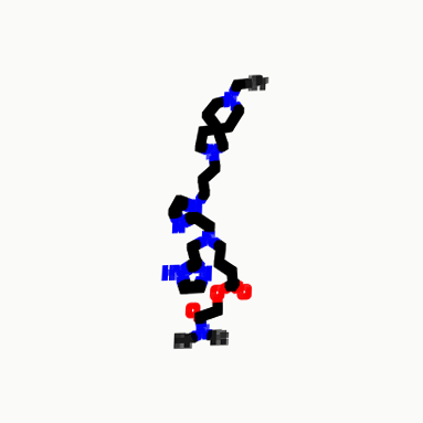 CCN(CC)C(=O)COC(=O)CCCN(Cc1ncc[nH]1)Cc1nccn1CCCN1CCC2(CCN(CC(C)C)CC2)C1